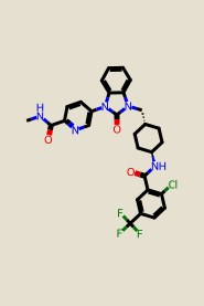 CNC(=O)c1ccc(-n2c(=O)n(C[C@H]3CC[C@H](NC(=O)c4cc(C(F)(F)F)ccc4Cl)CC3)c3ccccc32)cn1